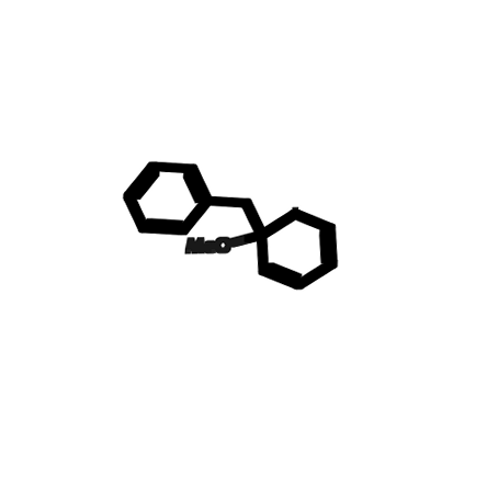 COC1(Cc2ccccc2)[CH]C=CC=C1